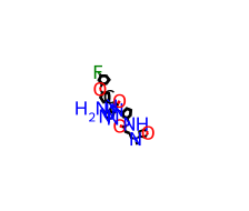 CN(C/C=C/C(=O)Nc1cccc(-n2c(=O)n(-c3ccc(Oc4cccc(F)c4)cc3)c3c(N)ncnc32)c1)C1CCOC1